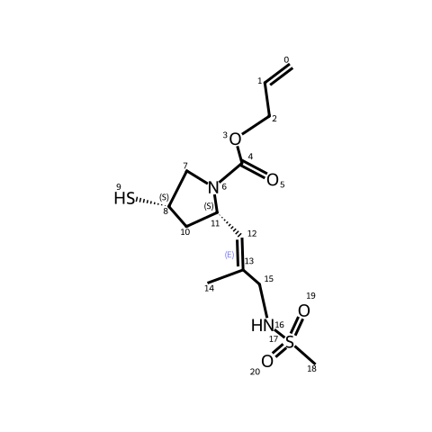 C=CCOC(=O)N1C[C@@H](S)C[C@H]1/C=C(\C)CNS(C)(=O)=O